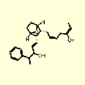 C/C=C(/O)C/C=C\C[C@@H]1[C@H](/C=C/C(O)C(C)c2ccccc2)[C@@H]2CC[C@H]1O2